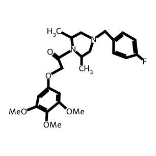 COc1cc(OCC(=O)N2C(C)CN(Cc3ccc(F)cc3)CC2C)cc(OC)c1OC